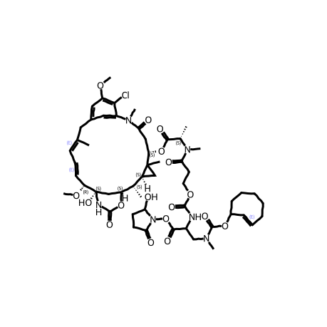 COc1cc2cc(c1Cl)N(C)C(=O)C[C@H](OC(=O)[C@H](C)N(C)C(=O)CCOC(=O)NC(CN(C)C(=O)OC1/C=C/CCCCC1)C(=O)ON1C(=O)CCC1O)C1(C)C[C@H]1[C@H](C)[C@@H]1C[C@@](O)(NC(=O)O1)[C@H](OC)/C=C/C=C(\C)C2